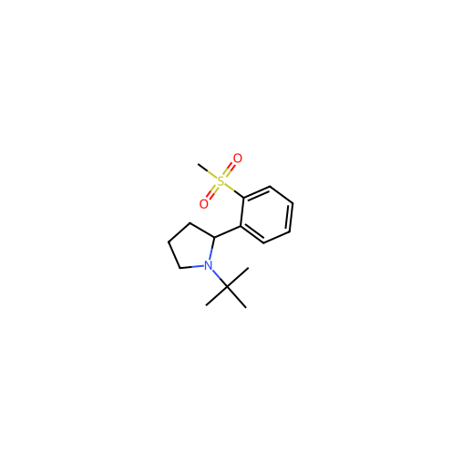 CC(C)(C)N1CCCC1c1ccccc1S(C)(=O)=O